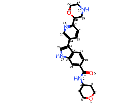 O=C(NC1CCOCC1)c1ccc2c(-c3ccc(C4CNCCO4)nc3)c[nH]c2c1